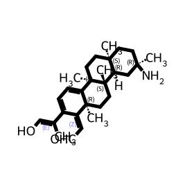 C/C(=C\O)C1=CC=C2[C@@](C)(CC[C@@]3(C)[C@@H]4C[C@](C)(N)CC[C@]4(C)CC[C@]23C)/C1=C/C=O